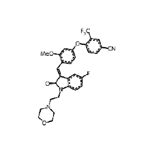 COc1cc(Oc2ccc(C#N)cc2C(F)(F)F)ccc1C=C1C(=O)N(CCN2CCOCC2)c2ccc(F)cc21